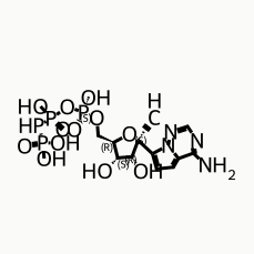 C#C[C@@]1(c2ccc3c(N)ncnn23)O[C@H](CO[P@](=O)(O)OP(=O)(O)PP(=O)(O)O)[C@@H](O)[C@H]1O